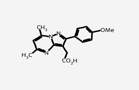 COc1ccc(-c2nn3c(C)cc(C)nc3c2CC(=O)O)cc1